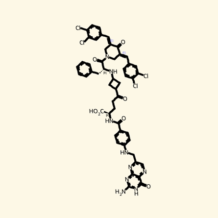 Nc1nc2nc(CNc3ccc(C(=O)N[C@H](CCC(=O)C4CC(N[C@H](Cc5ccccc5)C(=O)N5C/C(=C\c6ccc(Cl)c(Cl)c6)C(=O)/C(=C/c6ccc(Cl)c(Cl)c6)C5)C4)C(=O)O)cc3)cnc2c(=O)[nH]1